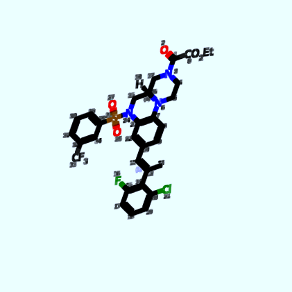 CCOC(=O)C(=O)N1CCN2c3ccc(/C=C(\C)c4c(F)cccc4Cl)cc3N(S(=O)(=O)c3cccc(C(F)(F)F)c3)C[C@@H]2C1